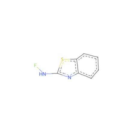 FNc1nc2ccccc2s1